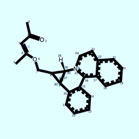 CC(=O)/C=C(/C)OCC1[C@@H]2c3ccccc3-c3c4ccccc4cc[n+]3[C@@H]12